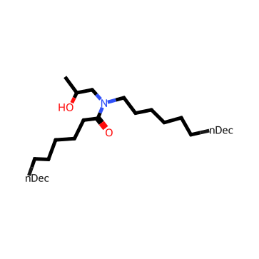 CCCCCCCCCCCCCCCCN(CC(C)O)C(=O)CCCCCCCCCCCCCCC